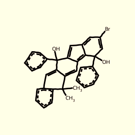 CC1(C)C2=CC3=C4C(=CC(Br)=CC4(O)c4ccccc4)C=C3C(O)(c3ccccc3)C2=Cc2ccccc21